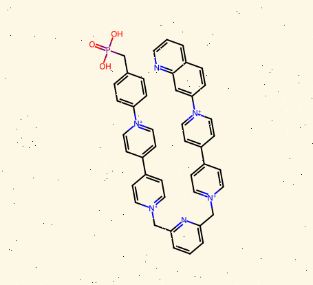 O=P(O)(O)Cc1ccc(-[n+]2ccc(-c3cc[n+](Cc4cccc(C[n+]5ccc(-c6cc[n+](-c7ccc8cccnc8c7)cc6)cc5)n4)cc3)cc2)cc1